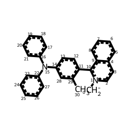 [CH2-][n+]1ccc2ccccc2c1-c1ccc(N(c2ccccc2)c2ccccc2)cc1C